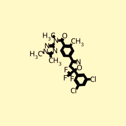 Cc1cc(C2=NOC(c3cc(Cl)cc(Cl)c3)(C(F)(F)F)C2)ccc1C(=O)N(C)c1nc(C)n(C)n1